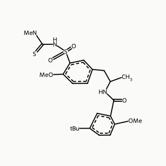 CNC(=S)NS(=O)(=O)c1cc(CC(C)NC(=O)c2cc(C(C)(C)C)ccc2OC)ccc1OC